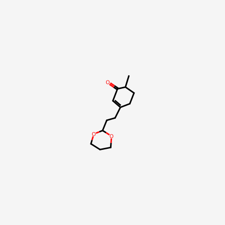 CC1CCC(CCC2OCCCO2)=CC1=O